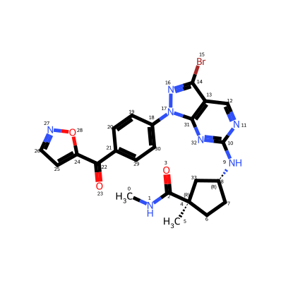 CNC(=O)[C@]1(C)CC[C@@H](Nc2ncc3c(Br)nn(-c4ccc(C(=O)c5ccno5)cc4)c3n2)C1